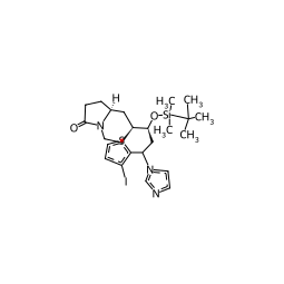 CC(C)(C)[Si](C)(C)O[C@@H](CC(c1sccc1I)n1ccnc1)[C@H]1CCN2C(=O)CC[C@H]2C1